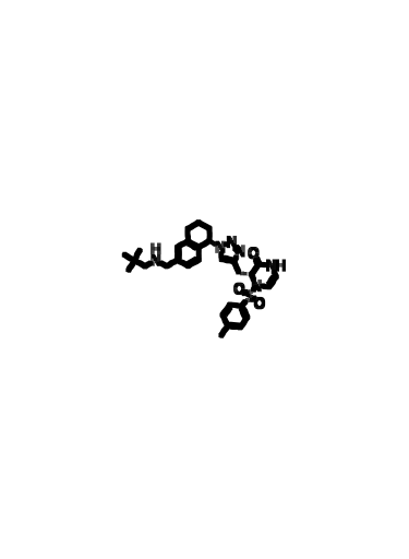 Cc1ccc(S(=O)(=O)N2C=CNC(=O)[C@H]2Cc2cn([C@@H]3CCCc4cc(CNCC(C)(C)C)ccc43)nn2)cc1